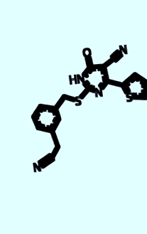 N#CCc1cccc(CSc2nc(-c3cccs3)c(C#N)c(=O)[nH]2)c1